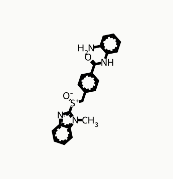 Cn1c([S+]([O-])Cc2ccc(C(=O)Nc3ccccc3N)cc2)nc2ccccc21